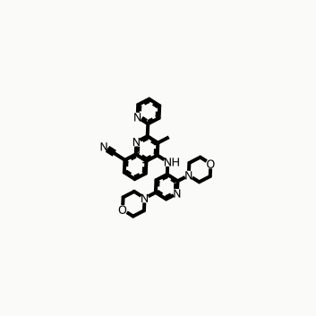 Cc1c(-c2ccccn2)nc2c(C#N)cccc2c1Nc1cc(N2CCOCC2)cnc1N1CCOCC1